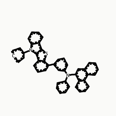 c1ccc(N(c2cccc(-c3cccc4c3sc3c5ccccc5n(-c5ccccc5)c43)c2)c2cc3ccccc3c3ccccc23)cc1